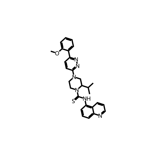 COc1ccccc1-c1ccc(N2CCN(C(=S)Nc3cccc4ncccc34)C(C(C)C)C2)nn1